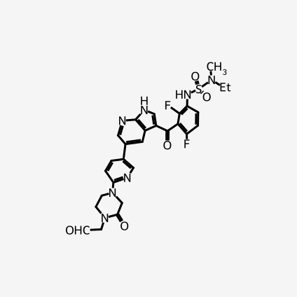 CCN(C)S(=O)(=O)Nc1ccc(F)c(C(=O)c2c[nH]c3ncc(-c4ccc(N5CCN(CC=O)C(=O)C5)nc4)cc23)c1F